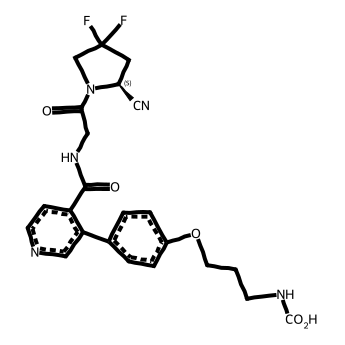 N#C[C@@H]1CC(F)(F)CN1C(=O)CNC(=O)c1ccncc1-c1ccc(OCCCNC(=O)O)cc1